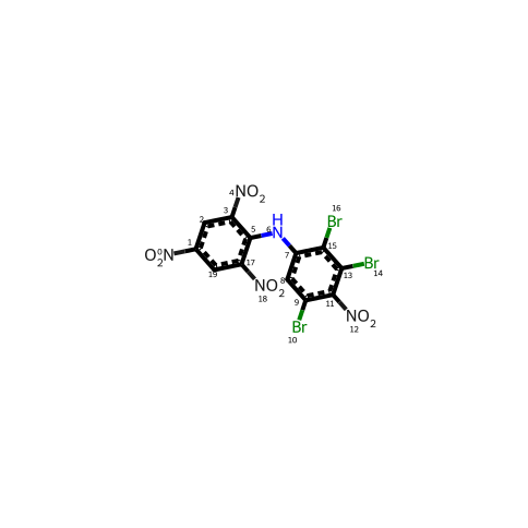 O=[N+]([O-])c1cc([N+](=O)[O-])c(Nc2cc(Br)c([N+](=O)[O-])c(Br)c2Br)c([N+](=O)[O-])c1